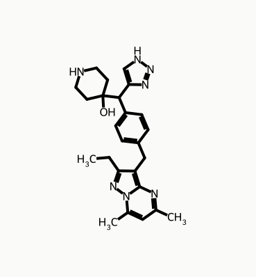 CCc1nn2c(C)cc(C)nc2c1Cc1ccc(C(c2c[nH]nn2)C2(O)CCNCC2)cc1